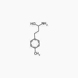 Cc1ccc(CCC(N)O)cc1